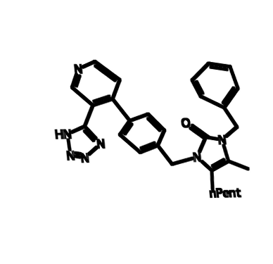 CCCCCc1c(C)n(Cc2ccccc2)c(=O)n1Cc1ccc(-c2ccncc2-c2nnn[nH]2)cc1